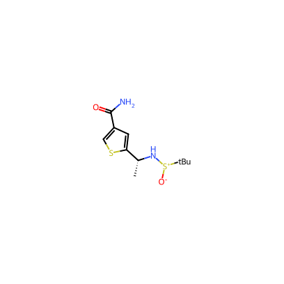 C[C@@H](N[S+]([O-])C(C)(C)C)c1cc(C(N)=O)cs1